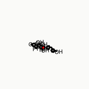 C[C@]12C=CC(=O)C=C1[C@@H](F)C[C@H]1[C@@H]3C[C@H]4O[C@@H](C5=CCC(Cc6cccc(CO)c6)C=C5)O[C@@]4(C(=O)CO)[C@@]3(C)C[C@H](O)[C@@]12F